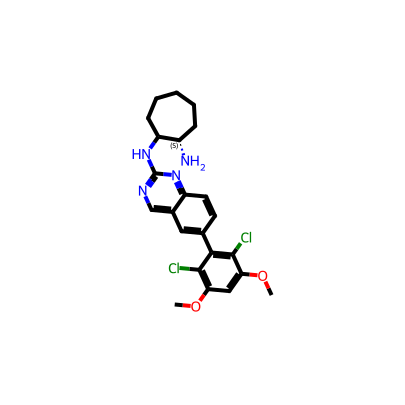 COc1cc(OC)c(Cl)c(-c2ccc3nc(NC4CCCCC[C@@H]4N)ncc3c2)c1Cl